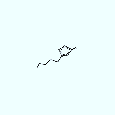 CCCCCn1cc(S)cn1